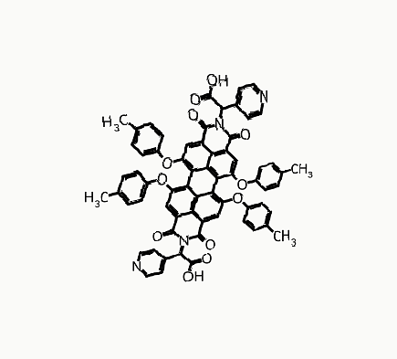 Cc1ccc(Oc2cc3c4c(cc(Oc5ccc(C)cc5)c5c6c(Oc7ccc(C)cc7)cc7c8c(cc(Oc9ccc(C)cc9)c(c2c45)c86)C(=O)N(C(C(=O)O)c2ccncc2)C7=O)C(=O)N(C(C(=O)O)c2ccncc2)C3=O)cc1